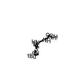 CC(C)(C)C1CN=C(CSc2cnc(NCCCCNCCC(=O)NO)s2)O1